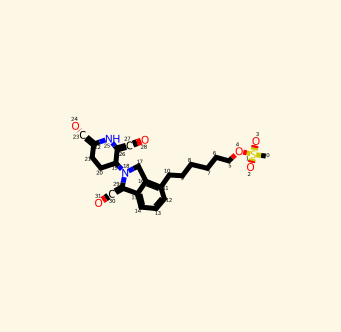 CS(=O)(=O)OCCCCCCc1cccc2c1CN(C1CCC(=C=O)NC1=C=O)C2=C=O